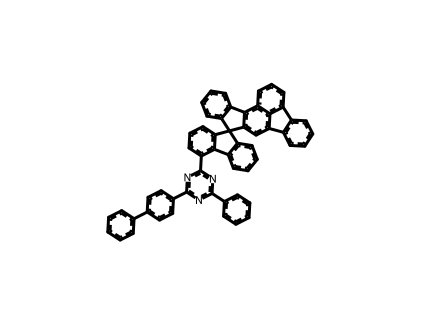 c1ccc(-c2ccc(-c3nc(-c4ccccc4)nc(-c4cccc5c4-c4ccccc4C54c5ccccc5-c5c4cc4c6c(cccc56)-c5ccccc5-4)n3)cc2)cc1